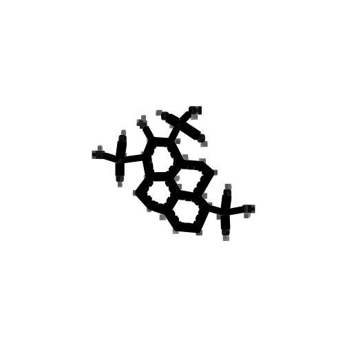 [2H]c1c(S(=O)(=O)O)c2ccc3ccc(S(=O)(=O)O)c4ccc(c1S(=O)(=O)O)c2c34